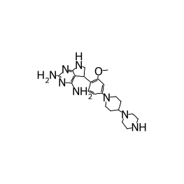 COc1cc(N2CCC(N3CCNCC3)CC2)ccc1C1CNc2nc(N)nc(N)c21